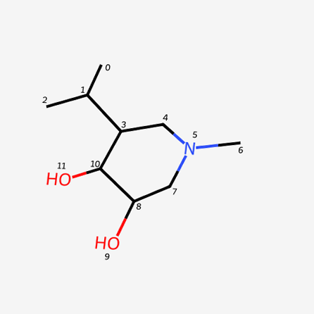 CC(C)C1CN(C)CC(O)C1O